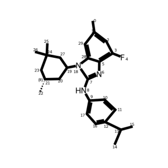 Cc1cc(F)c2nc(Nc3ccc(C(C)C)cc3)n(C3C[C@H](C)CC(C)(C)C3)c2c1